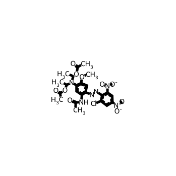 COc1cc(N=Nc2c(Cl)cc([N+](=O)[O-])cc2[N+](=O)[O-])c(NC(C)=O)cc1N(C(C)OC(C)=O)C(C)OC(C)=O